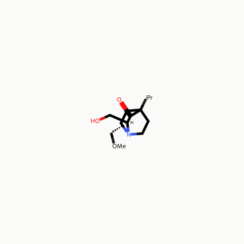 COC[C@]1(CO)C(=O)C2(C(C)C)CCN1CC2